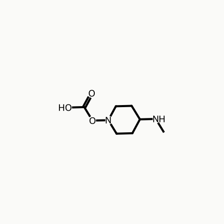 CNC1CCN(OC(=O)O)CC1